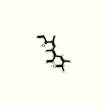 C=CC(=O)\C(C)=C/C(C)=C(C=C)\C=C(\C)C(C)=O